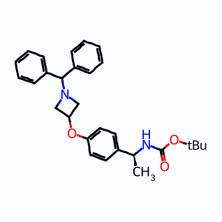 C[C@H](NC(=O)OC(C)(C)C)c1ccc(OC2CN(C(c3ccccc3)c3ccccc3)C2)cc1